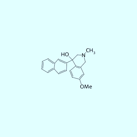 COc1ccc2c(c1)CN(C)CC2(O)c1ccc2ccccc2c1